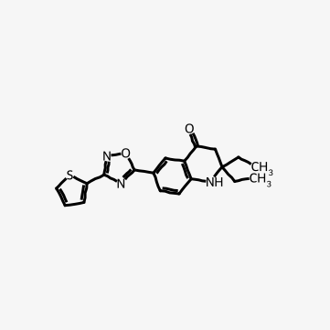 CCC1(CC)CC(=O)c2cc(-c3nc(-c4cccs4)no3)ccc2N1